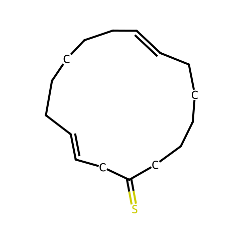 S=C1C/C=C/CCCCC/C=C/CCCCC1